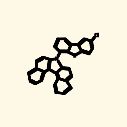 Clc1ccc2sc3c(-n4c5ccc6ccccc6c5c5c6ccccc6ccc54)cccc3c2c1